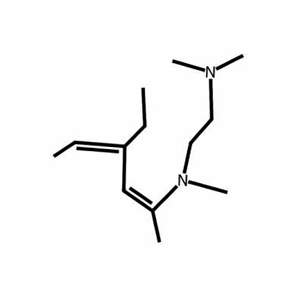 C/C=C(\C=C(\C)N(C)CCN(C)C)CC